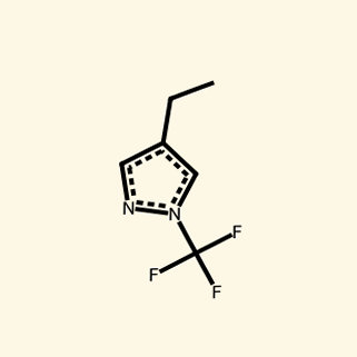 CCc1cnn(C(F)(F)F)c1